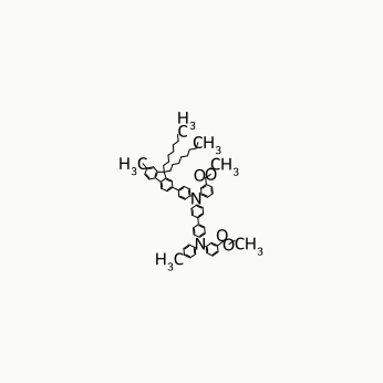 CCCCCCCCC1(CCCCCCCC)c2cc(C)ccc2-c2ccc(-c3ccc(N(c4ccc(-c5ccc(N(c6ccc(C)cc6)c6cccc(C(=O)OCC)c6)cc5)cc4)c4cccc(C(=O)OCC)c4)cc3)cc21